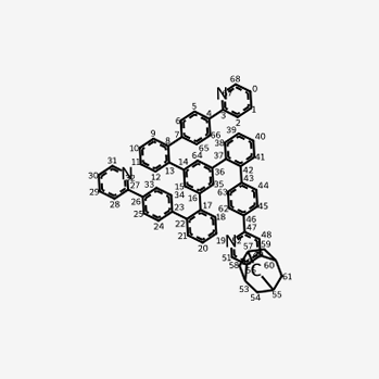 c1ccc(-c2ccc(-c3ccccc3-c3cc(-c4ccccc4-c4ccc(-c5ccccn5)cc4)cc(-c4ccccc4-c4ccc(-c5cc6c(cn5)C5CC7CC(C5)CC6C7)cc4)c3)cc2)nc1